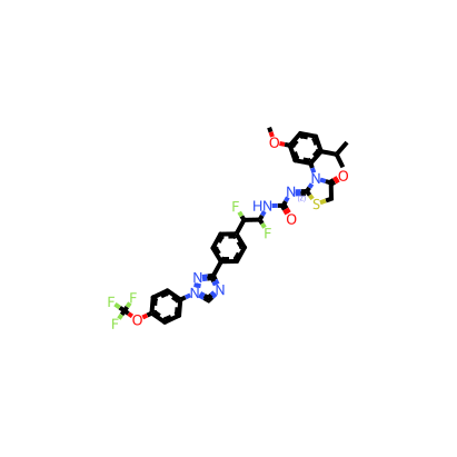 COc1ccc(C(C)C)c(N2C(=O)CS/C2=N\C(=O)NC(F)C(F)c2ccc(-c3ncn(-c4ccc(OC(F)(F)F)cc4)n3)cc2)c1